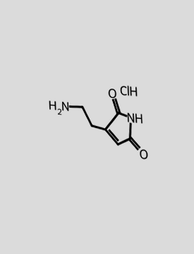 Cl.NCCC1=CC(=O)NC1=O